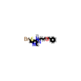 Cc1nc2cc(Br)sc2c2c1nc(CCCOCc1ccccc1)n2C